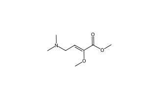 COC(=O)C(=CCN(C)C)OC